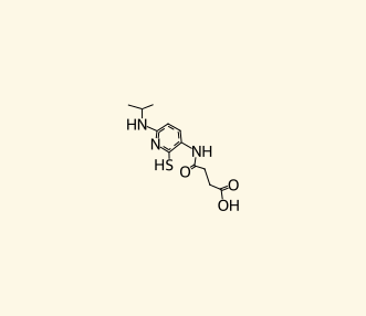 CC(C)Nc1ccc(NC(=O)CCC(=O)O)c(S)n1